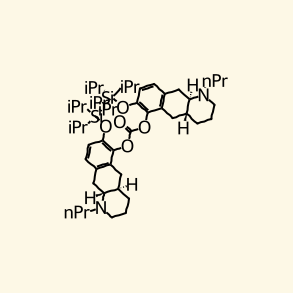 CCCN1CCC[C@@H]2Cc3c(ccc(O[Si](C(C)C)(C(C)C)C(C)C)c3OC(=O)Oc3c(O[Si](C(C)C)(C(C)C)C(C)C)ccc4c3C[C@H]3CCCN(CCC)[C@@H]3C4)C[C@H]21